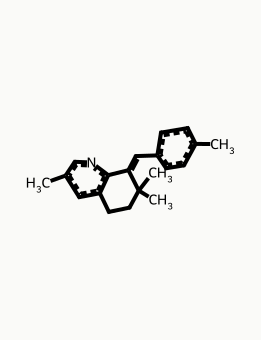 Cc1ccc(C=C2c3ncc(C)cc3CCC2(C)C)cc1